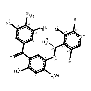 COc1cc(N)c(C(=N)c2cc(C)c(OC)c(C#N)c2)cc1O[C@H](C)c1c(Cl)cnc(F)c1Cl